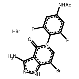 Br.CC(=O)Nc1cc(F)c(-n2cc(Br)c3[nH]nc(N)c3c2=O)c(F)c1